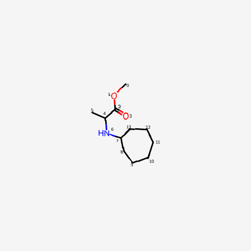 COC(=O)C(C)NC1CCCCCC1